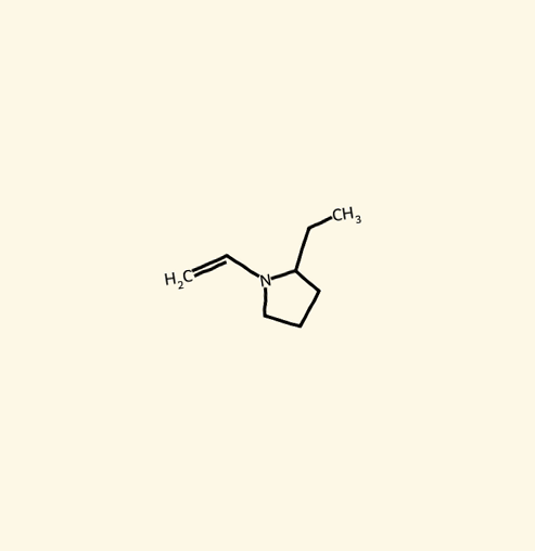 C=CN1CCCC1CC